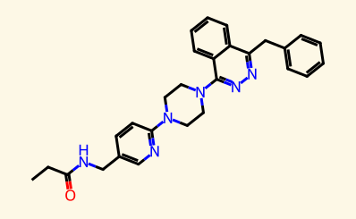 CCC(=O)NCc1ccc(N2CCN(c3nnc(Cc4ccccc4)c4ccccc34)CC2)nc1